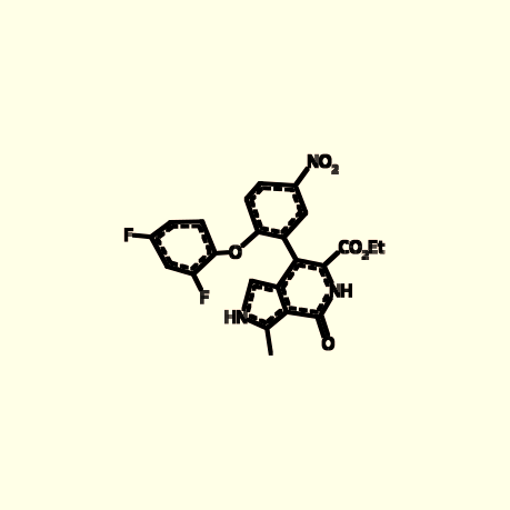 CCOC(=O)c1[nH]c(=O)c2c(C)[nH]cc2c1-c1cc([N+](=O)[O-])ccc1Oc1ccc(F)cc1F